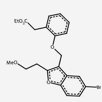 CCOC(=O)Cc1ccccc1OCc1c(CCOC)oc2ccc(Br)cc12